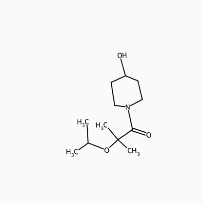 CC(C)OC(C)(C)C(=O)N1CCC(O)CC1